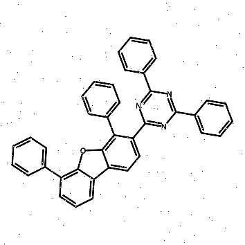 c1ccc(-c2nc(-c3ccccc3)nc(-c3ccc4c(oc5c(-c6ccccc6)cccc54)c3-c3ccccc3)n2)cc1